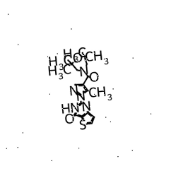 Cc1c(C(=O)N2CC(C)(C)OC(C)(C)C2)cnn1-c1nc2ccsc2c(=O)[nH]1